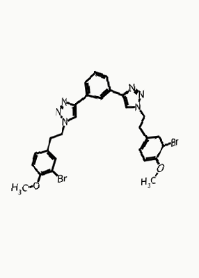 COC1=CC=C(CCn2cc(-c3cccc(-c4cn(CCc5ccc(OC)c(Br)c5)nn4)c3)nn2)CC1Br